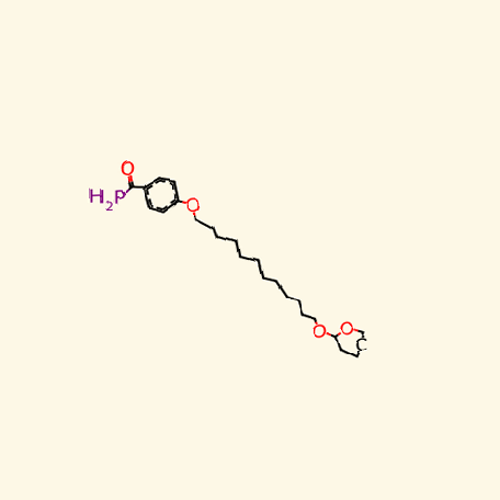 O=C(P)c1ccc(OCCCCCCCCCCCCOC2CCCCO2)cc1